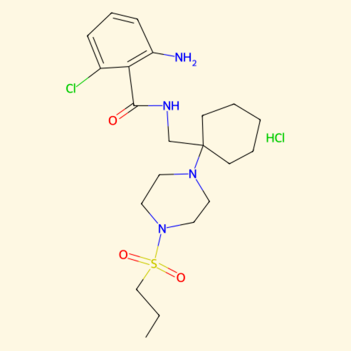 CCCS(=O)(=O)N1CCN(C2(CNC(=O)c3c(N)cccc3Cl)CCCCC2)CC1.Cl